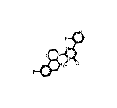 Cn1c(N2CCOC3c4cc(F)ccc4CCC32)nc(-c2ccncc2F)cc1=O